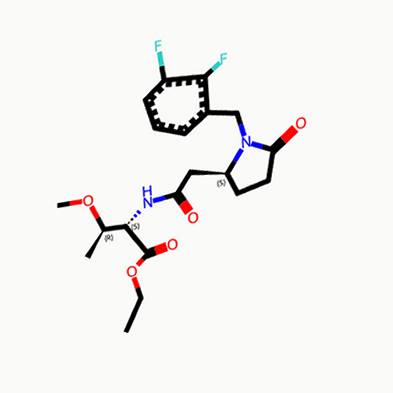 CCOC(=O)[C@@H](NC(=O)C[C@@H]1CCC(=O)N1Cc1cccc(F)c1F)[C@@H](C)OC